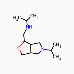 CC(C)NCC1OCC2CN(C(C)C)CC21